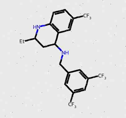 CCC1CC(NCc2cc(C(F)(F)F)cc(C(F)(F)F)c2)c2cc(C(F)(F)F)ccc2N1